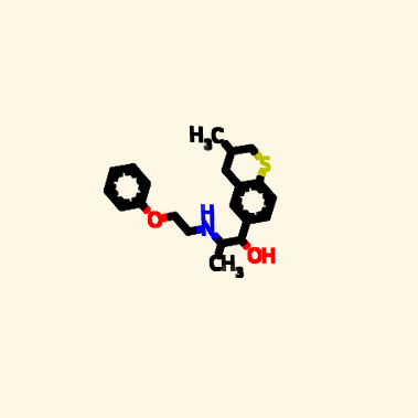 CC1CSc2ccc(C(O)C(C)NCCOc3ccccc3)cc2C1